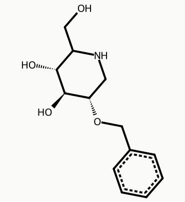 OCC1NC[C@H](OCc2ccccc2)[C@@H](O)[C@@H]1O